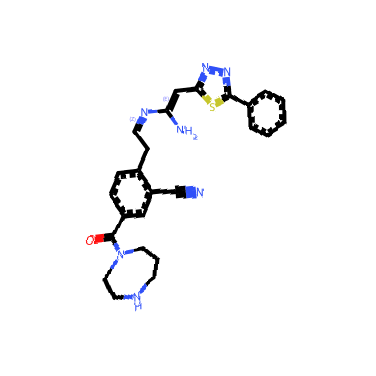 N#Cc1cc(C(=O)N2CCCNCC2)ccc1C/C=N\C(N)=C\c1nnc(-c2ccccc2)s1